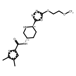 Cc1cc(C(=O)N[C@H]2CC[C@H](c3nnc(OCCOC(F)(F)F)o3)NC2)sc1C